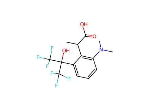 CC(C(=O)O)c1c(N(C)C)cccc1C(O)(C(F)(F)F)C(F)(F)F